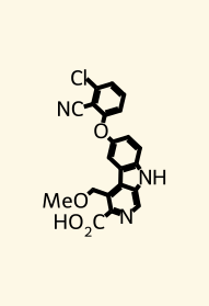 COCc1c(C(=O)O)ncc2[nH]c3ccc(Oc4cccc(Cl)c4C#N)cc3c12